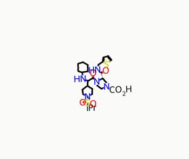 CC(C)S(=O)(=O)N1CCC(C(NC2CCCCC2)C(=O)N2CCN(C(=O)O)C[C@H]2C(=O)NCc2cccs2)CC1